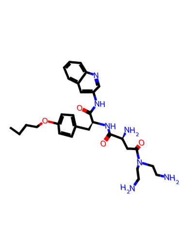 CCCCOc1ccc(C[C@H](NC(=O)[C@@H](N)CC(=O)N(CCN)CCN)C(=O)Nc2cnc3ccccc3c2)cc1